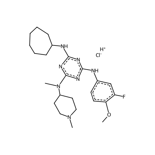 COc1ccc(Nc2nc(NC3CCCCCC3)nc(N(C)C3CCN(C)CC3)n2)cc1F.[Cl-].[H+]